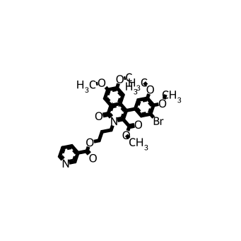 COC(=O)c1c(-c2cc(Br)c(OC)c(OC)c2)c2cc(OC)c(OC)cc2c(=O)n1CCCOC(=O)c1cccnc1